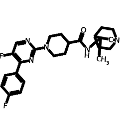 CC1(NC(=O)C2CCN(c3ncc(F)c(-c4ccc(F)cc4)n3)CC2)CN2CCC1CC2